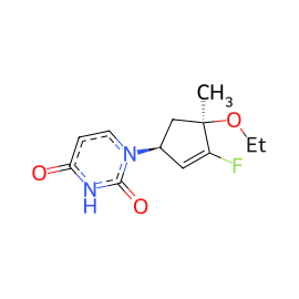 CCO[C@]1(C)C[C@H](n2ccc(=O)[nH]c2=O)C=C1F